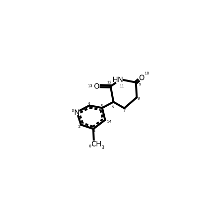 Cc1cncc(C2CCC(=O)NC2=O)c1